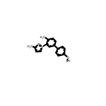 CCCOc1ccc(-c2ccc(C)c(-n3ccc(C)n3)c2)cc1